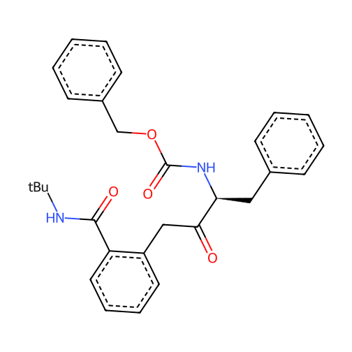 CC(C)(C)NC(=O)c1ccccc1CC(=O)[C@H](Cc1ccccc1)NC(=O)OCc1ccccc1